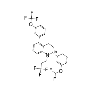 FC(F)OC1=CC([C@H]2CCc3c(-c4cccc(OC(F)(F)F)c4)cccc3N2CCC(F)(F)F)CC=C1